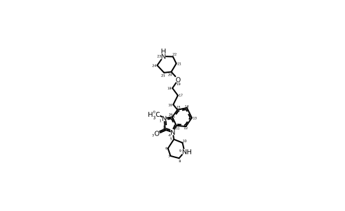 Cn1c(=O)n(C2CCCNC2)c2cccc(CCCOC3CCNCC3)c21